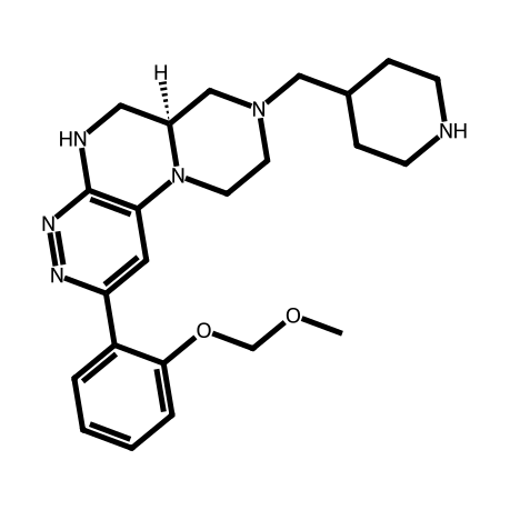 COCOc1ccccc1-c1cc2c(nn1)NC[C@H]1CN(CC3CCNCC3)CCN21